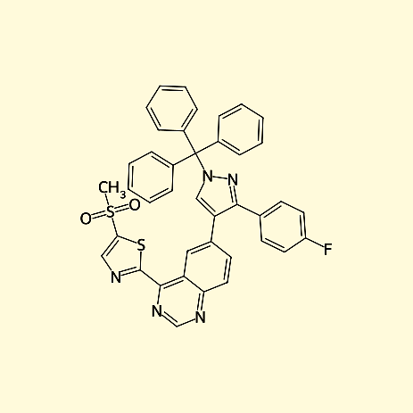 CS(=O)(=O)c1cnc(-c2ncnc3ccc(-c4cn(C(c5ccccc5)(c5ccccc5)c5ccccc5)nc4-c4ccc(F)cc4)cc23)s1